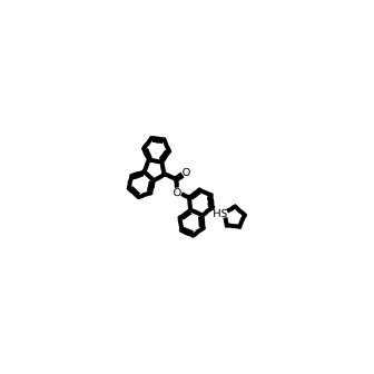 O=C(Oc1ccc([SH]2CCCC2)c2ccccc12)C1c2ccccc2-c2ccccc21